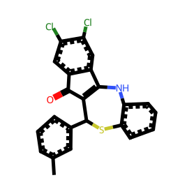 Cc1cccc(C2Sc3ccccc3NC3=C2C(=O)c2cc(Cl)c(Cl)cc23)c1